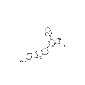 O=C(Nc1ccc(-c2nc(N3CC4CCC(C3)O4)c3cnn(CC(F)(F)F)c3n2)cc1)Nc1cccc(CO)c1